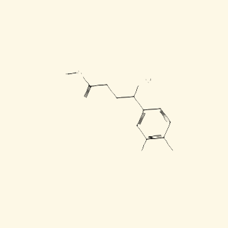 COC(CCC(=O)NO)c1ccc(C)c(F)c1